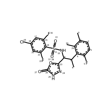 Cc1ccc(F)c(C(C)C(NS(=O)(=O)c2c(F)cc(Cl)cc2F)c2n[nH]c(=O)o2)c1C